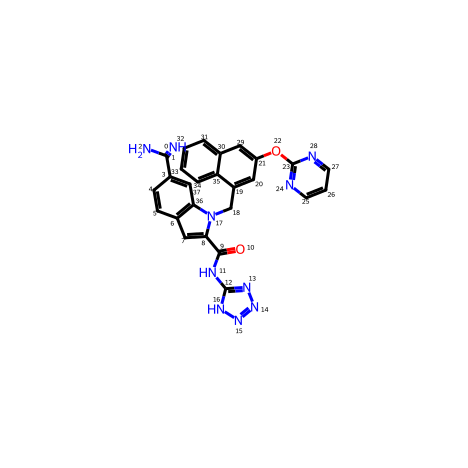 N=C(N)c1ccc2cc(C(=O)Nc3nnn[nH]3)n(Cc3cc(Oc4ncccn4)cc4ccccc34)c2c1